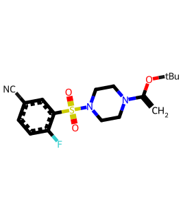 C=C(OC(C)(C)C)N1CCN(S(=O)(=O)c2cc(C#N)ccc2F)CC1